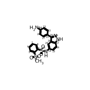 CS(=O)(=O)c1ccccc1S(=O)(=O)Nc1ccc2[nH]nc(-c3ccc(N)cc3)c2c1